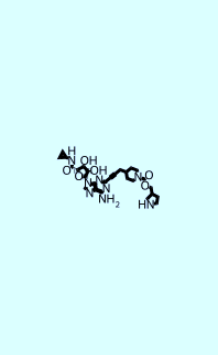 Nc1nc(C#CCC2CCN(C(=O)OCC3CCNC3)CC2)nc2c1ncn2[C@@H]1O[C@H](C(=O)NC2CC2)C(O)[C@@H]1O